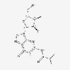 CC(C)C(=O)Nc1nc2c(ncn2[C@@H]2O[C@H](CO)[C@@H](C)[C@H]2F)c(=O)[nH]1